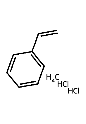 C.C=Cc1ccccc1.Cl.Cl